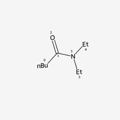 [CH2]CCCC(=O)N(CC)CC